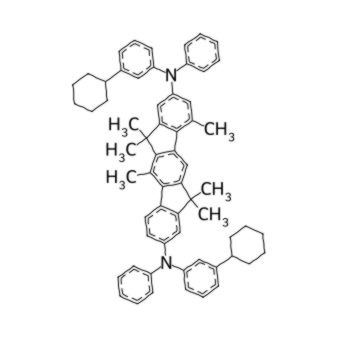 Cc1cc(N(c2ccccc2)c2cccc(C3CCCCC3)c2)cc2c1-c1cc3c(c(C)c1C2(C)C)-c1ccc(N(c2ccccc2)c2cccc(C4CCCCC4)c2)cc1C3(C)C